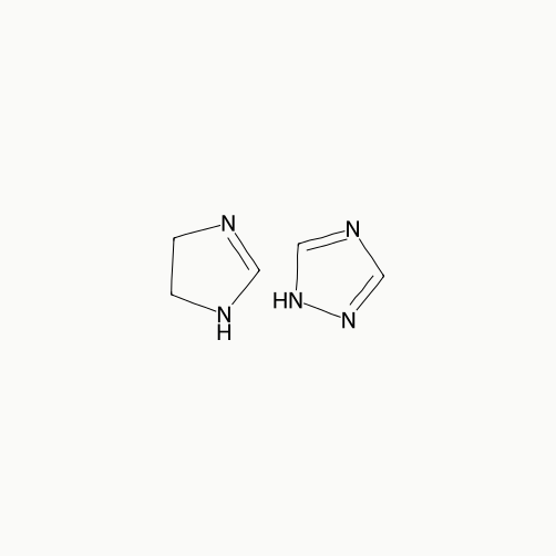 C1=NCCN1.c1nc[nH]n1